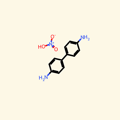 Nc1ccc(-c2ccc(N)cc2)cc1.O=[N+]([O-])O